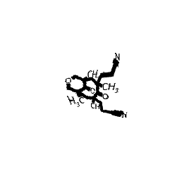 CC1(CCC#N)CC2(C)COCC(C)(CC(C)(CCC#N)C1=O)C2=O